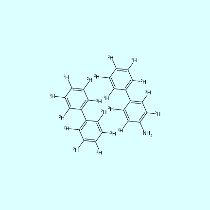 [2H]c1c([2H])c([2H])c(-c2c([2H])c([2H])c(N)c([2H])c2[2H])c([2H])c1[2H].[2H]c1c([2H])c([2H])c(-c2c([2H])c([2H])c([2H])c([2H])c2[2H])c([2H])c1[2H]